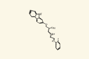 OC(CNCCOc1ccccc1F)COc1ccc2c(c1)[nH]c1ccccc12